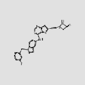 O=C1C[C@@H](C#Cc2cc3ncnc(Nc4ccc5c(cnn5Cc5cccc(F)c5)c4)c3s2)N1